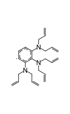 C=CCN(CC=C)c1[c]ccc(N(CC=C)CC=C)c1N(CC=C)CC=C